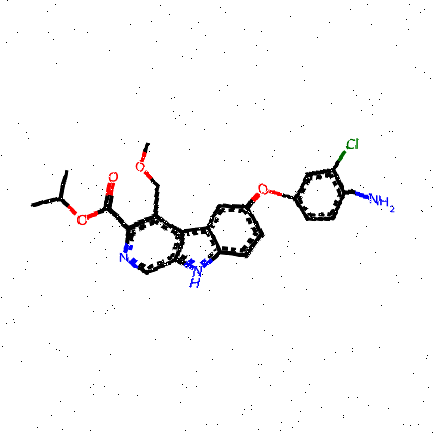 COCc1c(C(=O)OC(C)C)ncc2[nH]c3ccc(Oc4ccc(N)c(Cl)c4)cc3c12